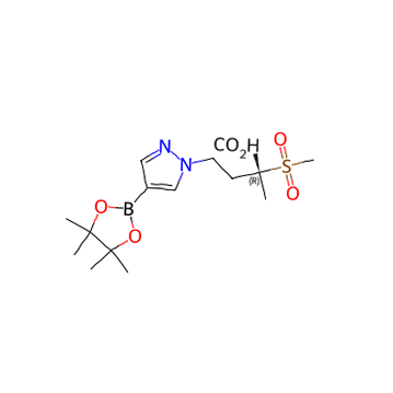 CC1(C)OB(c2cnn(CC[C@](C)(C(=O)O)S(C)(=O)=O)c2)OC1(C)C